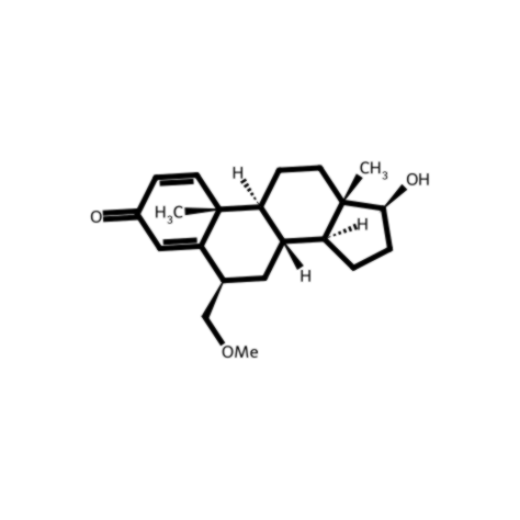 COC[C@@H]1C[C@H]2[C@@H]3CC[C@H](O)[C@@]3(C)CC[C@@H]2[C@@]2(C)C=CC(=O)C=C12